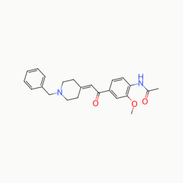 COc1cc(C(=O)C=C2CCN(Cc3ccccc3)CC2)ccc1NC(C)=O